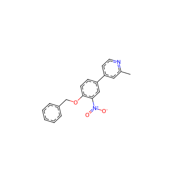 Cc1cc(-c2ccc(OCc3ccccc3)c([N+](=O)[O-])c2)ccn1